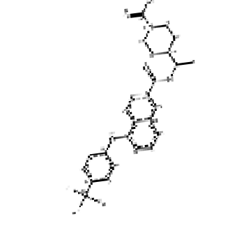 C[C@@H](NC(=O)c1ccc2c(Oc3ccc(C(F)(F)F)cc3)cccc2c1)C1CCN(C(=O)O)CC1